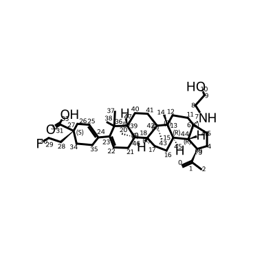 C=C(C)[C@@H]1CC[C@]2(NCCO)CC[C@]3(C)[C@H](CC[C@@H]4[C@@]5(C)CC=C(C6=CC[C@@](CCF)(C(=O)O)CC6)C(C)(C)[C@@H]5CC[C@]43C)[C@@H]12